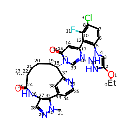 CCOC1=CN(c2ccc(Cl)c(F)c2-c2cc(=O)n([C@H]3CCC[C@@H](C)C(=O)Nc4cnn(C)c4-c4ccnc3c4)cn2)NN1